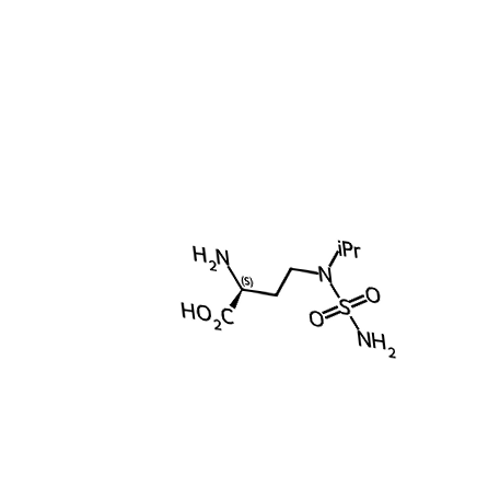 CC(C)N(CC[C@H](N)C(=O)O)S(N)(=O)=O